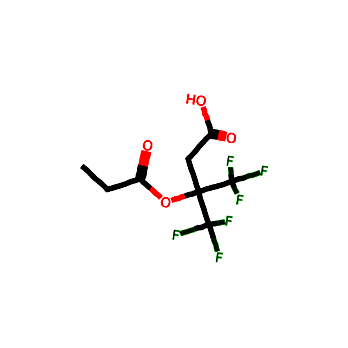 CCC(=O)OC(CC(=O)O)(C(F)(F)F)C(F)(F)F